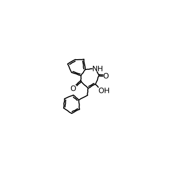 O=c1[nH]c2ccccc2c(=O)c(Cc2ccccc2)c1O